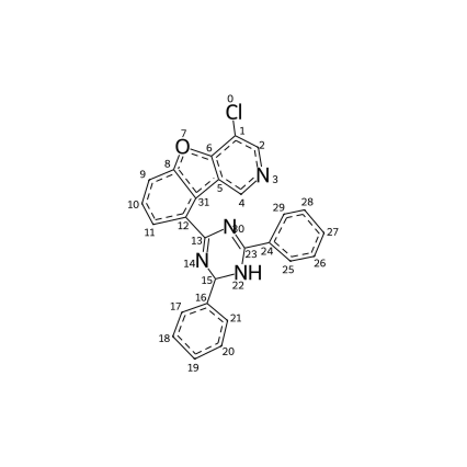 Clc1cncc2c1oc1cccc(C3=NC(c4ccccc4)NC(c4ccccc4)=N3)c12